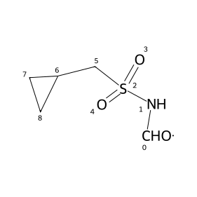 O=[C]NS(=O)(=O)CC1CC1